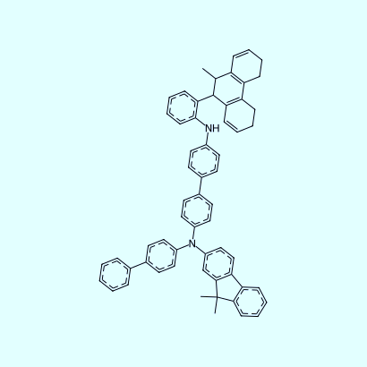 CC1C2=C(CCC=C2)C2=C(C=CCC2)C1c1ccccc1Nc1ccc(-c2ccc(N(c3ccc(-c4ccccc4)cc3)c3ccc4c(c3)C(C)(C)c3ccccc3-4)cc2)cc1